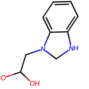 OC(O)CN1CNc2ccccc21